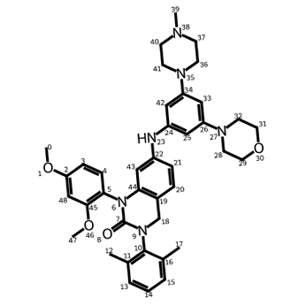 COc1ccc(N2C(=O)N(c3c(C)cccc3C)Cc3ccc(Nc4cc(N5CCOCC5)cc(N5CCN(C)CC5)c4)cc32)c(OC)c1